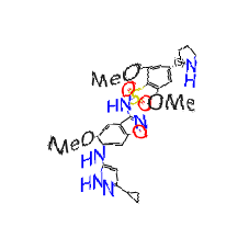 COc1cc2c(NS(=O)(=O)c3c(OC)cc([C@@H]4CCCN4)cc3OC)noc2cc1Nc1cc(C2CC2)n[nH]1